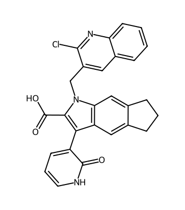 O=C(O)c1c(-c2ccc[nH]c2=O)c2cc3c(cc2n1Cc1cc2ccccc2nc1Cl)CCC3